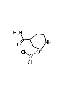 NC(=O)C1CCNCC1.[O-][S+](Cl)Cl